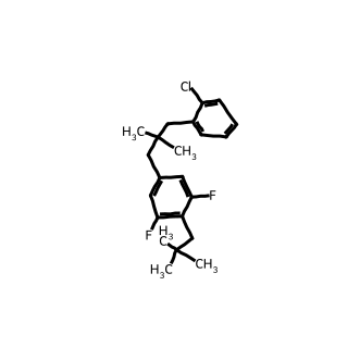 CC(C)(C)Cc1c(F)cc(CC(C)(C)Cc2ccccc2Cl)cc1F